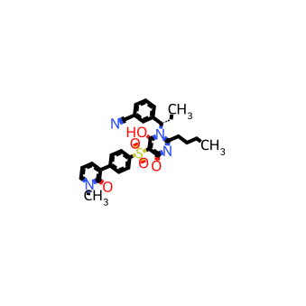 CCCCc1nc(=O)c(S(=O)(=O)c2ccc(-c3cccn(C)c3=O)cc2)c(O)n1[C@@H](CC)c1cccc(C#N)c1